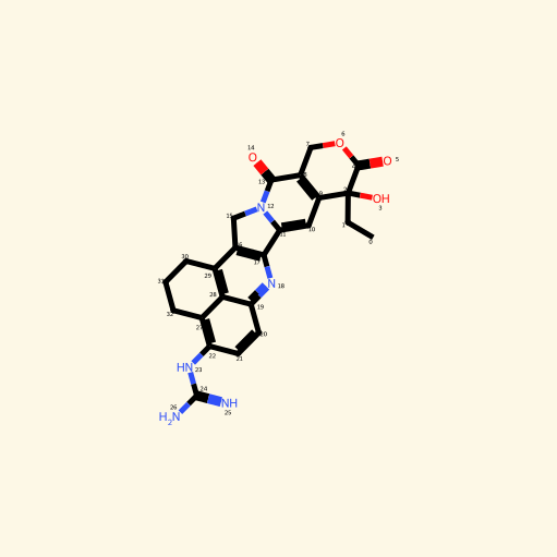 CCC1(O)C(=O)OCc2c1cc1n(c2=O)Cc2c-1nc1ccc(NC(=N)N)c3c1c2CCC3